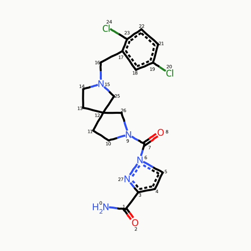 NC(=O)c1ccn(C(=O)N2CCC3(CCN(Cc4cc(Cl)ccc4Cl)C3)C2)n1